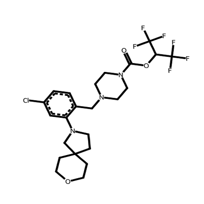 O=C(OC(C(F)(F)F)C(F)(F)F)N1CCN(Cc2ccc(Cl)cc2N2CCC3(CCOCC3)C2)CC1